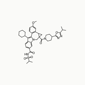 COc1ccc2c(c1)C1CC1(C(=O)N1CCC(c3nnc(C(C)C)o3)CC1)Cn1c-2c(C2CCCCC2)c2ccc(C(=O)NS(=O)(=O)C(C)C)cc21